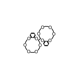 c1ccc2c(c1)OCCOCCOCCOCCOCC(C1COCCOCCOCCOCCOc3ccccc3O1)O2